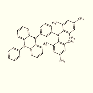 Cc1cc(C)c(B(c2cccc(N3c4ccccc4B(c4ccccc4)c4ccccc43)c2)c2c(C)cc(C)cc2C)c(C)c1